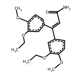 CCOc1cc(C(=CC(N)=O)c2ccc(OC)c(OCC)c2)ccc1OC